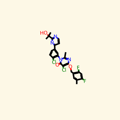 Cc1cc(COc2nc(C)n(-c3cc(-c4ccnc(C(C)(C)O)n4)ccc3Cl)c(=O)c2Cl)c(F)cc1F